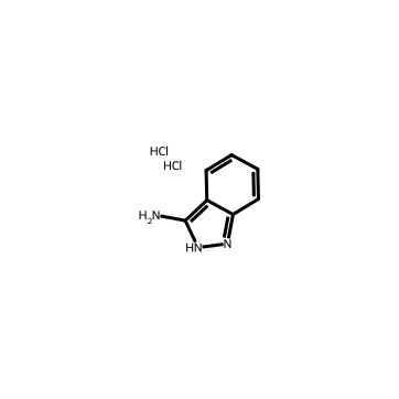 Cl.Cl.Nc1[nH]nc2ccccc12